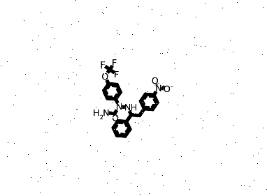 NC(=O)N(NC(Cc1ccc([N+](=O)[O-])cc1)c1ccccc1)c1ccc(OC(F)(F)F)cc1